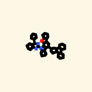 c1ccc(-c2nc(-n3c4ccccc4c4c(-c5ccc6c7ccccc7c7ccccc7c6c5)cc5c6ccccc6oc5c43)nc3ccccc23)cc1